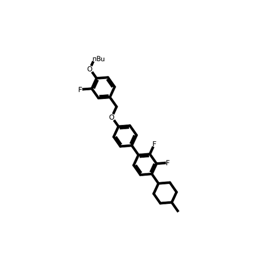 CCCCOc1ccc(COc2ccc(-c3ccc(C4CCC(C)CC4)c(F)c3F)cc2)cc1F